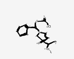 CC(Br)C1(F)CCN(C(OC(=O)Cl)c2ccccc2)C1